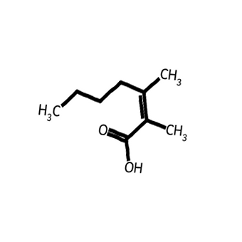 CCCCC(C)=C(C)C(=O)O